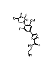 CC(C)CCNC(=O)c1ncc(-c2cc(O)c(N3CC(=O)NS3(=O)=O)c(F)c2)s1